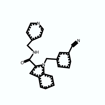 N#Cc1cccc(Cn2c(C(=O)NCc3ccncc3)cc3ccccc32)c1